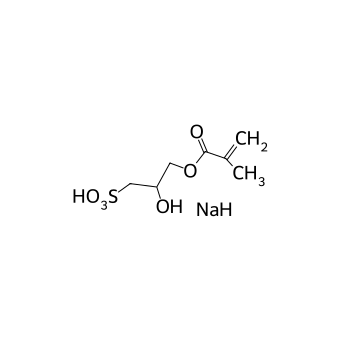 C=C(C)C(=O)OCC(O)CS(=O)(=O)O.[NaH]